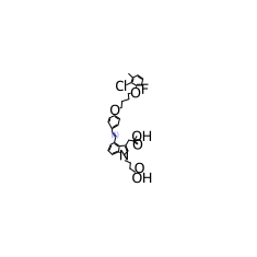 Cc1ccc(F)c(OCCCCOc2ccc(/C=C/c3cccc4c3c(CC(=O)O)cn4CCCC(=O)O)cc2)c1Cl